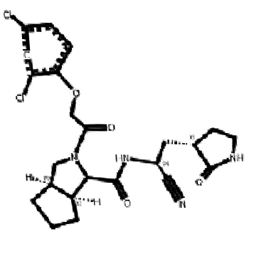 N#C[C@H](C[C@@H]1CCNC1=O)NC(=O)C1[C@H]2CCC[C@H]2CN1C(=O)COc1ccc(Cl)cc1Cl